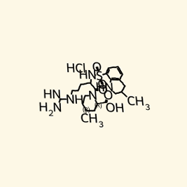 CC1CNc2c(cccc2S(=O)(=O)NC(CCCNC(=N)N)C(=O)N2CC[C@@H](C)C[C@@H]2C(=O)O)C1.Cl